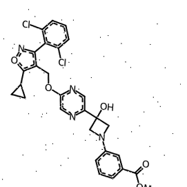 COC(=O)c1cccc(N2CC(O)(c3cnc(OCc4c(-c5c(Cl)cccc5Cl)noc4C4CC4)cn3)C2)c1